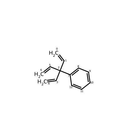 C=CC(C=C)(C=C)c1ccccc1